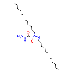 CCCCCCCCCCCCNN(CCCCCCCCCCCC)C(=O)C(=O)NN